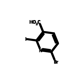 O=C(O)c1ccc(Br)nc1I